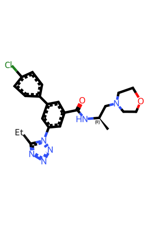 CCc1nnnn1-c1cc(C(=O)N[C@H](C)CN2CCOCC2)cc(-c2ccc(Cl)cc2)c1